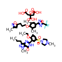 CCCc1nn(C)c2c(=O)[nH]c(-c3cc(S(=O)(=O)N4CCN(C)CC4)ccc3OCC)nc12.Cc1cc(CCCOc2c(C)cc(-c3noc(C(F)(F)F)n3)cc2C)on1.O=C(O)CC(O)(CC(=O)O)C(=O)O